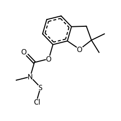 CN(SCl)C(=O)Oc1cccc2c1OC(C)(C)C2